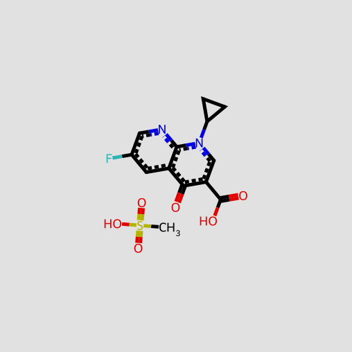 CS(=O)(=O)O.O=C(O)c1cn(C2CC2)c2ncc(F)cc2c1=O